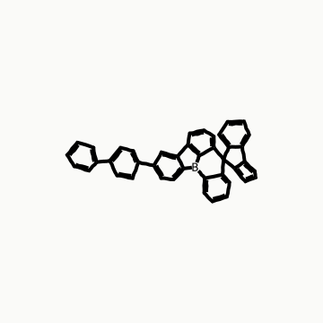 c1ccc(-c2ccc(-c3ccc4c(c3)-c3cccc5c3B4c3ccccc3C53c4ccccc4-c4ccccc43)cc2)cc1